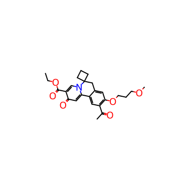 CCOC(=O)c1cn2c(cc1=O)-c1cc(C(C)=O)c(OCCCOC)cc1CC21CCC1